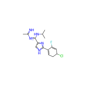 CC(=N)/N=C(\NC(C)C)c1c[nH]c(C2=CCC(Cl)C=C2F)n1